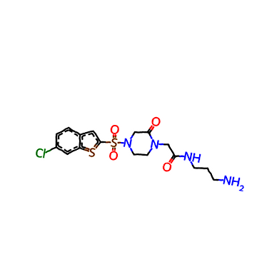 NCCCNC(=O)CN1CCN(S(=O)(=O)c2cc3ccc(Cl)cc3s2)CC1=O